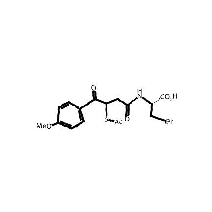 COc1ccc(C(=O)C(CC(=O)N[C@@H](CC(C)C)C(=O)O)SC(C)=O)cc1